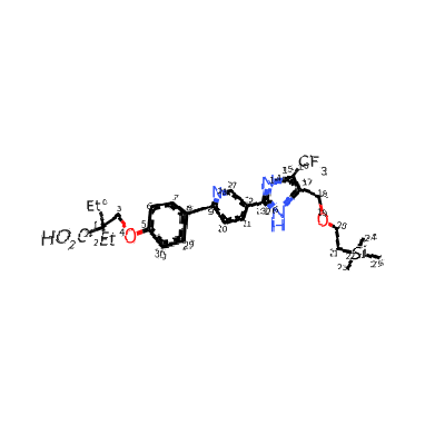 CCC(CC)(COc1ccc(-c2ccc(-c3nc(C(F)(F)F)c(COCC[Si](C)(C)C)[nH]3)cn2)cc1)C(=O)O